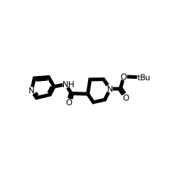 CC(C)(C)OC(=O)N1CCC(C(=O)Nc2ccncc2)CC1